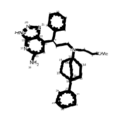 COCCN(CC[C@H](c1ccccc1)c1cc(N)nc2[nH]nnc12)C12CCC(c3ccccc3)(CC1)CC2